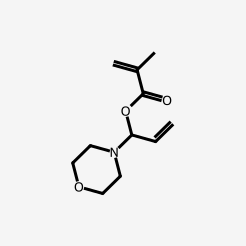 C=CC(OC(=O)C(=C)C)N1CCOCC1